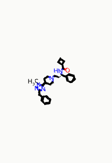 Cn1nc(Cc2ccccc2)nc1C1CCN(CC[C@H](NC(=O)C2CCC2)c2ccccc2)CC1